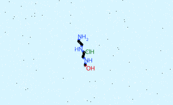 Cl.NCCNCCNCO